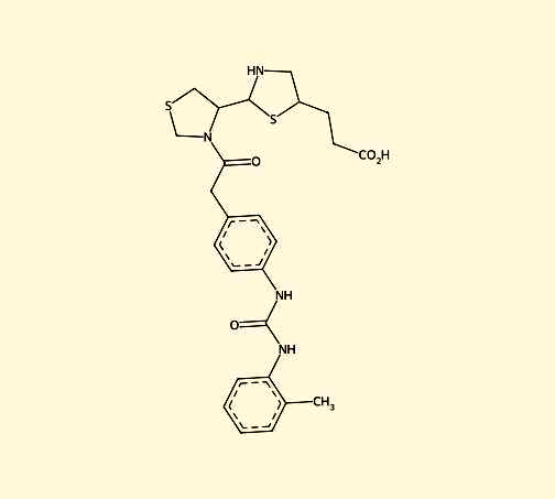 Cc1ccccc1NC(=O)Nc1ccc(CC(=O)N2CSCC2C2NCC(CCC(=O)O)S2)cc1